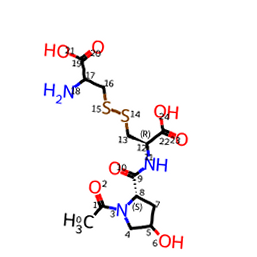 CC(=O)N1CC(O)C[C@H]1C(=O)N[C@@H](CSSCC(N)C(=O)O)C(=O)O